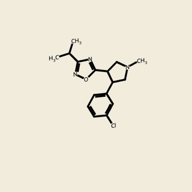 CC(C)c1noc(C2CN(C)CC2c2cccc(Cl)c2)n1